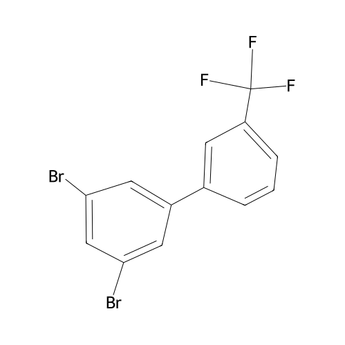 FC(F)(F)c1cccc(-c2cc(Br)cc(Br)c2)c1